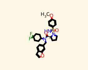 COc1ccc([S@](=N)(=O)N2CCC[C@H]2C(=O)N(Cc2ccc3ccoc3c2)C2CCC(F)(F)CC2)cc1